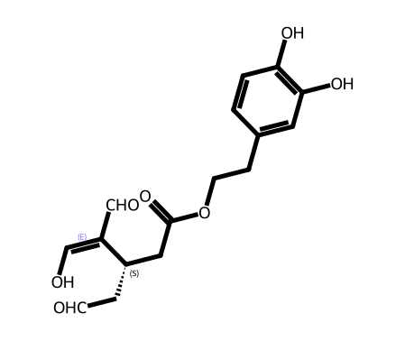 O=CC[C@@H](CC(=O)OCCc1ccc(O)c(O)c1)/C(C=O)=C\O